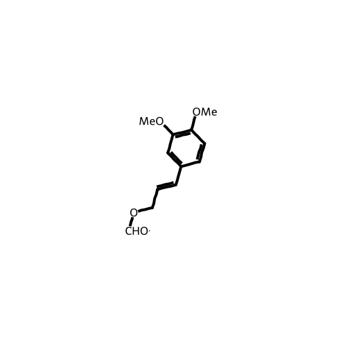 COc1ccc(C=CCO[C]=O)cc1OC